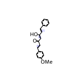 COc1ccc(/C=C/C(=O)/C=C(O)/C=C/c2ccccc2)cc1